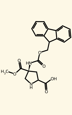 COC(=O)[C@@]1(NC(=O)OCC2c3ccccc3-c3ccccc32)CNC(C(=O)O)C1